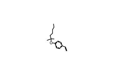 C=Cc1ccc(OC(C)(C)CCCCC)cc1